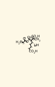 [CH2]C(C(CCCCC(=O)O)C(C)OC(=O)C=C)S(=O)(=O)O.[LiH]